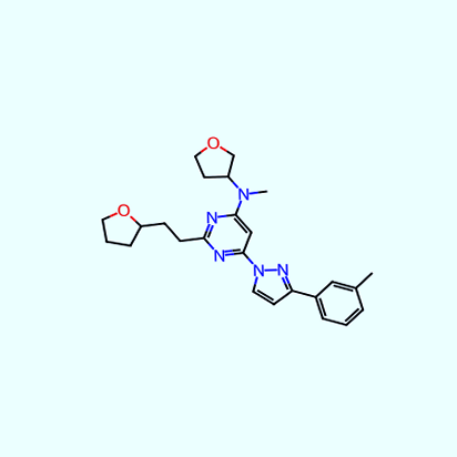 Cc1cccc(-c2ccn(-c3cc(N(C)C4CCOC4)nc(CCC4CCCO4)n3)n2)c1